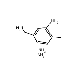 Cc1ccc(CN)cc1N.N.N